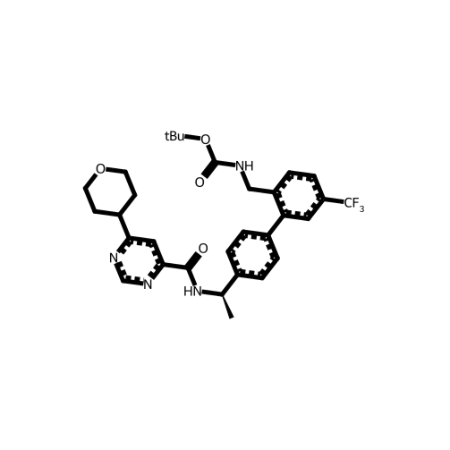 C[C@@H](NC(=O)c1cc(C2CCOCC2)ncn1)c1ccc(-c2cc(C(F)(F)F)ccc2CNC(=O)OC(C)(C)C)cc1